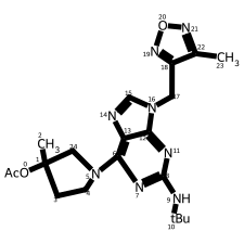 CC(=O)OC1(C)CCN(c2nc(NC(C)(C)C)nc3c2ncn3Cc2nonc2C)C1